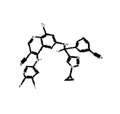 [2H]C(Nc1cc(Cl)c2ncc(C#N)c(Nc3cnc(F)c(Cl)c3)c2c1)(c1cccc(C#N)c1)c1cn(C2CC2)nn1